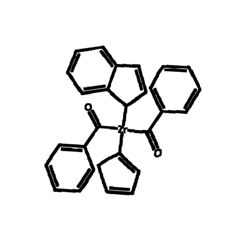 O=[C](c1ccccc1)[Zr]([C](=O)c1ccccc1)([C]1=CC=CC1)[CH]1C=Cc2ccccc21